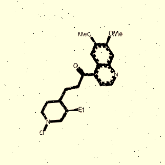 CC[C@H]1CN(Cl)CCC1CCC(=O)c1ccnc2cc(OC)c(OC)cc12